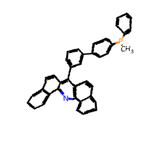 CP(c1ccccc1)c1ccc(-c2cccc(-c3c4ccc5ccccc5c4nc4c3ccc3ccccc34)c2)cc1